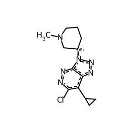 CN1CCC[C@@H](n2nnc3c(C4CC4)c(Cl)nnc32)C1